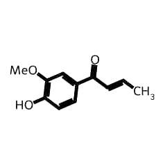 CC=CC(=O)c1ccc(O)c(OC)c1